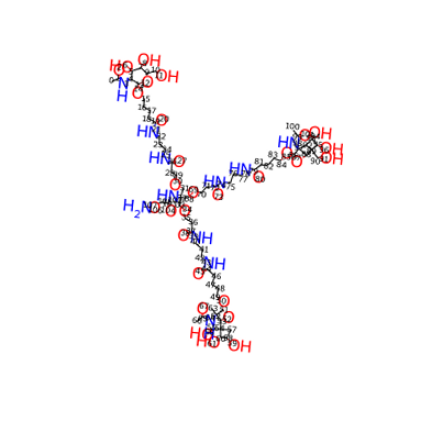 CC(=O)NC1C(O)[C@@H](O)C(CO)O[C@H]1OCCCCC(=O)NCCCNC(=O)CCOCC(COCCC(=O)NCCCNC(=O)CCCCO[C@@H]1OC(C2(CO)CC(O)[C@H]2O)C1(C)NC(C)=O)(COCCC(=O)NCCCNC(=O)CCCCO[C@@H]1OC2C3(CO)C(C(O)[C@H]3O)C21NC(C)=O)NC(=O)CON